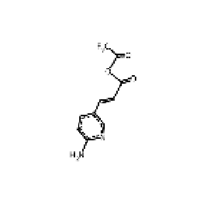 Nc1ccc(C=CC(=O)OC(=O)C(F)(F)F)cn1